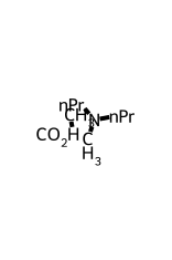 CC(=O)O.CCCN(C)CCC